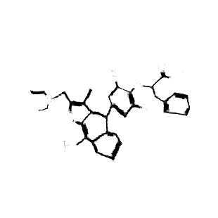 CCN(CC)Cc1sc2c(Br)c3ccccc3c(-c3cc(Br)c(OC(Cc4ccccc4)C(=O)O)c(Br)c3)c2c1C